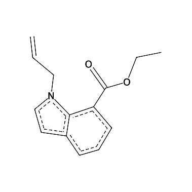 C=CCn1ccc2cccc(C(=O)OCC)c21